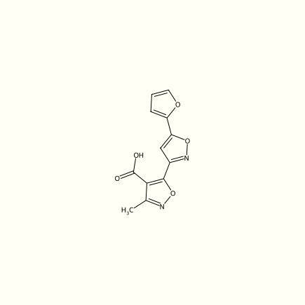 Cc1noc(-c2cc(-c3ccco3)on2)c1C(=O)O